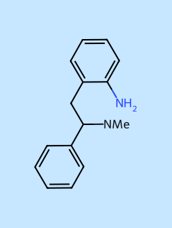 CNC(Cc1ccccc1N)c1ccccc1